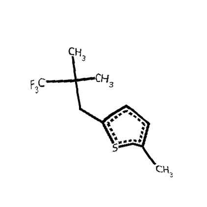 Cc1ccc(CC(C)(C)C(F)(F)F)s1